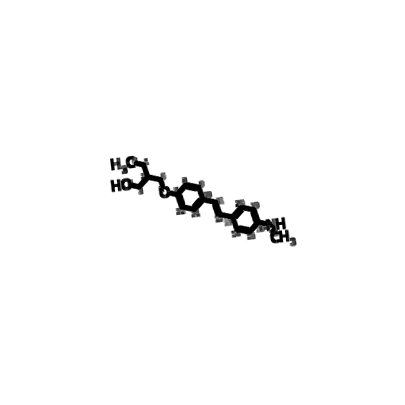 CCC(CO)COc1ccc(/C=C/c2ccc(NC)cc2)cc1